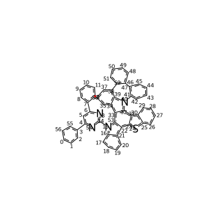 c1ccc(-c2cc(-c3ccccc3)nc(-n3c4ccccc4c4c5sc6ccccc6c5c5c(c6cccc7c6n5-c5ccccc5-c5ccccc5-7)c43)n2)cc1